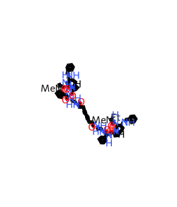 CC[C@H](NC)C(=O)N[C@@H]1C(=O)N2[C@@H](CC[C@@H]1CNCc1ccccc1)CC[C@H]2C(=O)N[C@H](C(=O)NCCNC(=O)CCC#CC#CCCC(=O)NCCNC(=O)[C@@H](NC(=O)[C@@H]1CC[C@@H]2CC[C@H](CNCc3ccccc3)[C@H](NC(=O)[C@H](C)NC)C(=O)N21)c1ccccc1)c1ccccc1